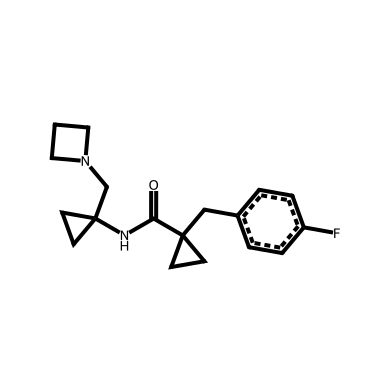 O=C(NC1(CN2CCC2)CC1)C1(Cc2ccc(F)cc2)CC1